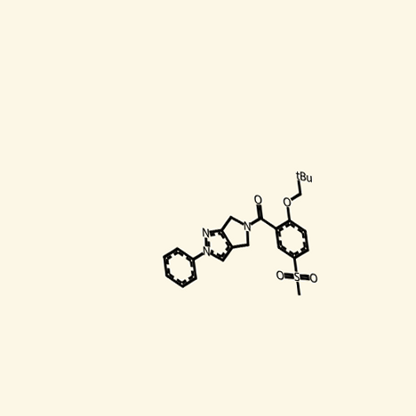 CC(C)(C)COc1ccc(S(C)(=O)=O)cc1C(=O)N1Cc2cn(-c3ccccc3)nc2C1